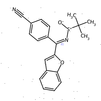 CC(C)(C)[S+]([O-])/N=C(\c1ccc(C#N)cc1)c1cc2ccccc2o1